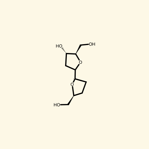 OC[C@@H]1CC[C](C2C[C@H](O)[C@@H](CO)O2)O1